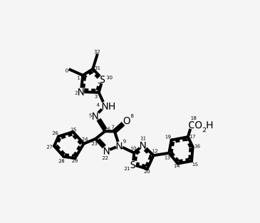 Cc1nc(N/N=C2\C(=O)N(c3nc(-c4cccc(C(=O)O)c4)cs3)N=C2c2ccccc2)sc1C